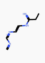 C=N/C=N\C=C\NC(=N)CC